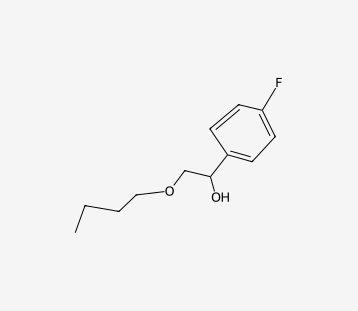 CCCCOCC(O)c1ccc(F)cc1